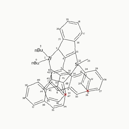 CCC[CH2][Zr]1([CH2]CCC)[CH]2C(c3cccc4ccccc34)=C(c3ccccc32)[Si](C)(c2ccccc2)C2=C(c3cccc4ccccc34)[CH]1c1ccccc12